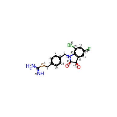 N=C(N)SCc1ccc(CN2C(=O)C(=O)c3cc(F)cc(Br)c32)cc1